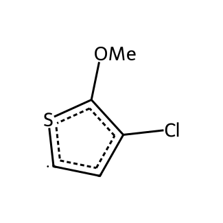 COc1s[c]cc1Cl